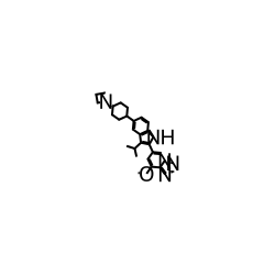 COc1cc(-c2[nH]c3ccc(C4CCC(N5CCC5)CC4)cc3c2C(C)C)cn2ncnc12